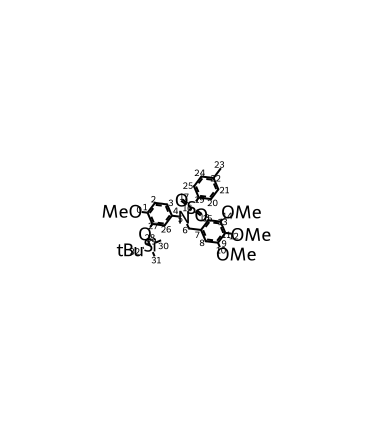 COc1ccc(N(Cc2cc(OC)c(OC)c(OC)c2)S(=O)(=O)c2ccc(C)cc2)cc1O[Si](C)(C)C(C)(C)C